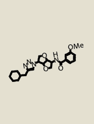 COc1cccc(C(=O)NC2COC3C2OCC3n2cc(CC3CCCCC3)nn2)c1